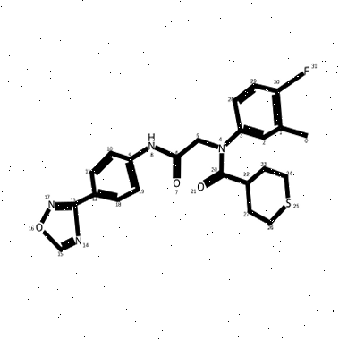 Cc1cc(N(CC(=O)Nc2ccc(-c3ncon3)cc2)C(=O)C2CCSCC2)ccc1F